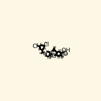 CC(c1cc(Cl)cc(Cl)c1)N1CCC(F)(COc2cc(F)c(C(=O)O)cc2C2CC2)CC1